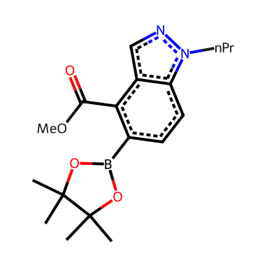 CCCn1ncc2c(C(=O)OC)c(B3OC(C)(C)C(C)(C)O3)ccc21